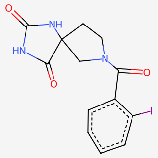 O=C1NC(=O)C2(CCN(C(=O)c3ccccc3I)C2)N1